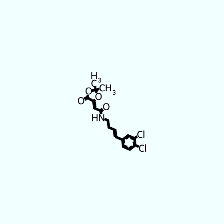 CC1(C)OC(=O)C(=CC(=O)NCCC=Cc2ccc(Cl)c(Cl)c2)O1